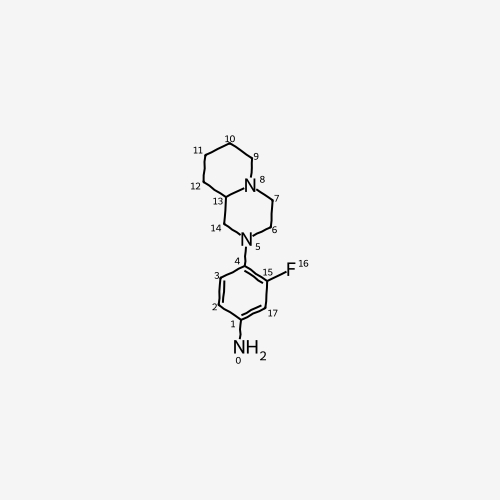 Nc1ccc(N2CCN3CCCCC3C2)c(F)c1